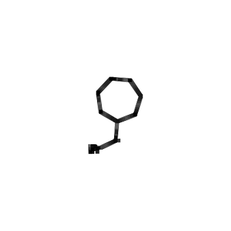 CC(C)[CH]C1CCCCCC1